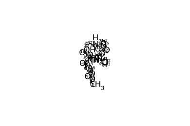 CCOC(=O)ON1CCN(C(=O)[C@H](CCC(=O)O)NC(=O)c2cc(OCC(=O)N3CCC[C@H]3C(=O)NCCF)n(-c3ccccc3)n2)CC1